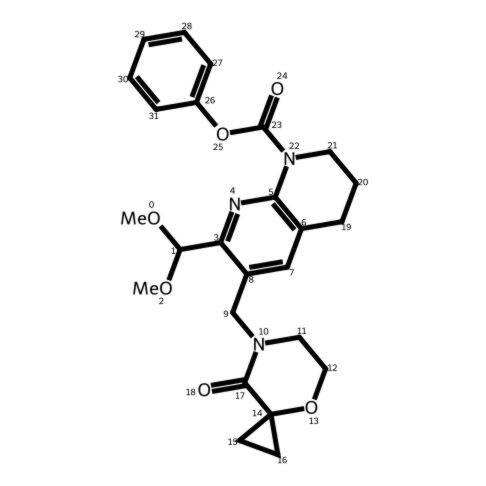 COC(OC)c1nc2c(cc1CN1CCOC3(CC3)C1=O)CCCN2C(=O)Oc1ccccc1